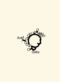 COc1cc2cc(c1Cl)N(C)C(=O)C[C@H](OC(=O)[C@H](C)N(C)C(C)=O)[C@]1(C)O[C@H]1[C@H](C)[C@@H]1C[C@@](O)(NC(=O)O1)[C@H](O)/C=C/C=C(\C)C2